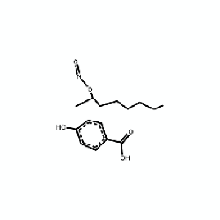 CCCCCCC(C)ON=O.O=C(O)c1ccc(O)cc1